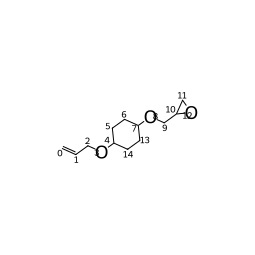 C=CCOC1CCC(OCC2CO2)CC1